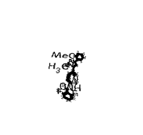 COc1ccccc1-c1cc(-c2ccc(NC(=O)c3c(F)cccc3F)nc2)n(C)n1